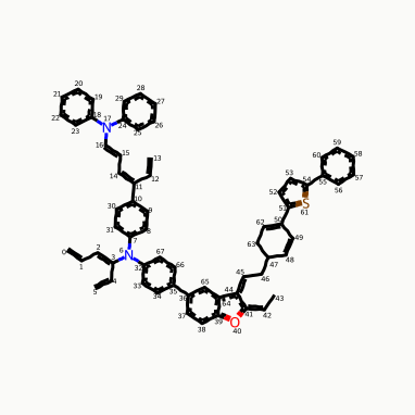 C=C/C=C(\C=C)N(c1ccc(/C(C=C)=C/C=C/N(c2ccccc2)c2ccccc2)cc1)c1ccc(-c2ccc3oc(=C/C)/c(=C\CC4C=CC(c5ccc(-c6ccccc6)s5)=CC4)c3c2)cc1